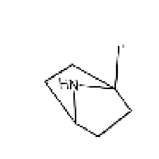 [CH2]C12CCC(CC1)N2